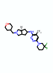 FC1(F)CCCN(c2cc(C(F)(F)F)c(NC3CC4CN(CC5CCOCC5)C[C@H]4C3)nn2)C1